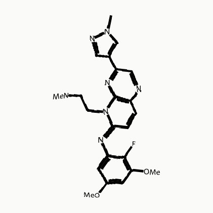 CNCCn1/c(=N/c2cc(OC)cc(OC)c2F)ccc2ncc(-c3cnn(C)c3)nc21